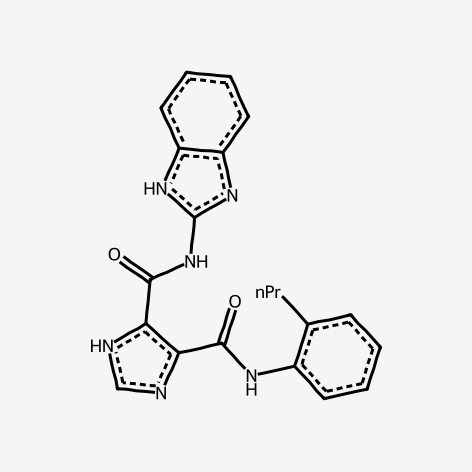 CCCc1ccccc1NC(=O)c1nc[nH]c1C(=O)Nc1nc2ccccc2[nH]1